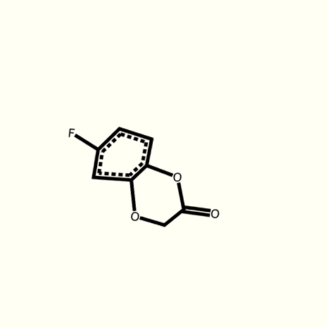 O=C1COc2cc(F)ccc2O1